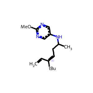 C=C/C(=C\CC(C)Nc1cnc(OC)nc1)C(C)(C)C